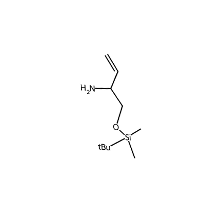 C=CC(N)CO[Si](C)(C)C(C)(C)C